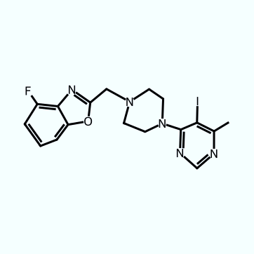 Cc1ncnc(N2CCN(Cc3nc4c(F)cccc4o3)CC2)c1I